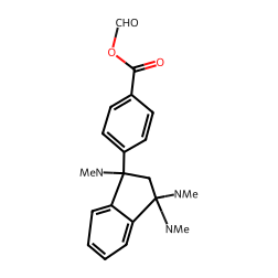 CNC1(NC)CC(NC)(c2ccc(C(=O)OC=O)cc2)c2ccccc21